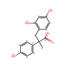 CC(Cc1ccc(O)cc1O)(C(=O)O)c1ccc(O)cc1